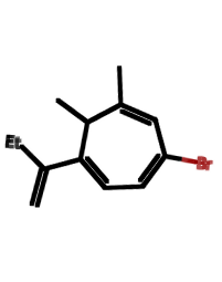 C=C(CC)C1=CC=C(Br)C=C(C)C1C